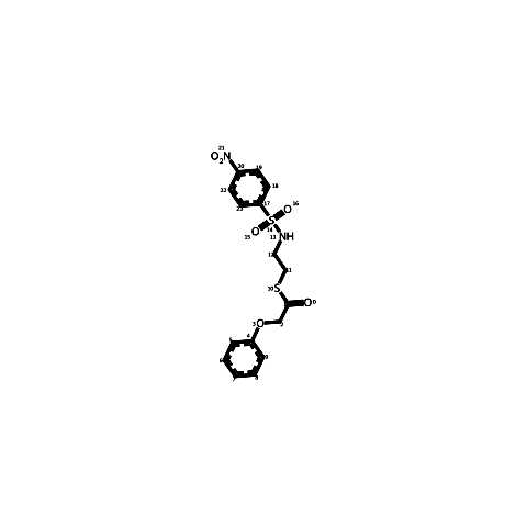 O=C(COc1ccccc1)SCCNS(=O)(=O)c1ccc([N+](=O)[O-])cc1